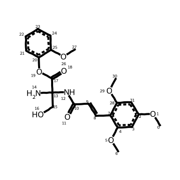 COc1cc(OC)c(C=CC(=O)NC(N)(CO)C(=O)Oc2ccccc2OC)c(OC)c1